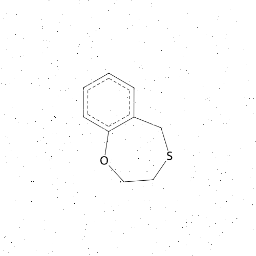 [CH]1CSCc2ccccc2O1